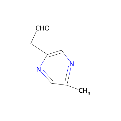 Cc1cnc(CC=O)cn1